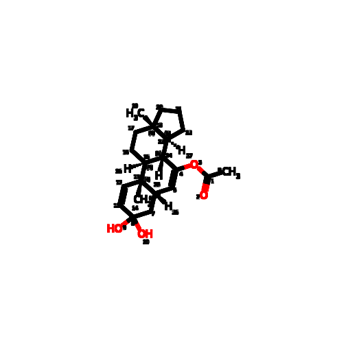 CC(=O)OC1=C[C@@H]2CC(O)(O)C=C[C@]2(C)[C@H]2CC[C@]3(C)CCC[C@H]3[C@H]12